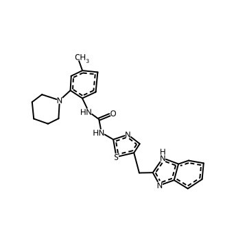 Cc1ccc(NC(=O)Nc2ncc(Cc3nc4ccccc4[nH]3)s2)c(N2CCCCC2)c1